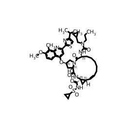 CCCN(CC1CC1)C(=O)N[C@H]1CCCCCC=C[C@@H]2C[C@@]2(C(=O)NS(=O)(=O)C2CC2)NC(=O)[C@@H]2C[C@@H](Oc3cc(-c4nc(C(C)C)cs4)nc4c(C)c(OC)ccc34)CN2C1=O